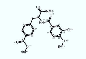 CNC(=O)C(Cc1ccc(C(=O)OC(C)(C)C)cc1)NC(=O)c1ccc(OC(C)C)c(Cl)c1